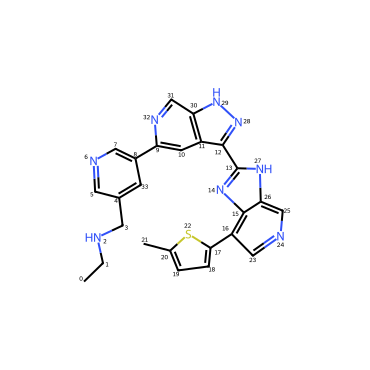 CCNCc1cncc(-c2cc3c(-c4nc5c(-c6ccc(C)s6)cncc5[nH]4)n[nH]c3cn2)c1